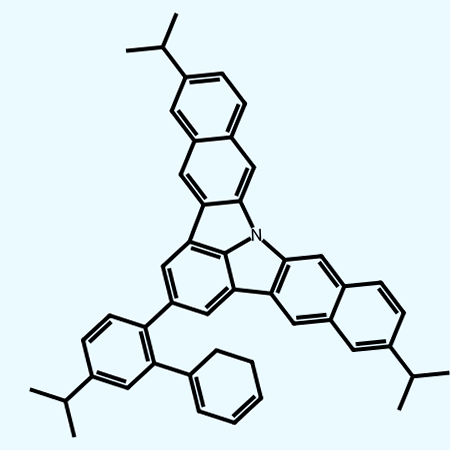 CC(C)c1ccc(-c2cc3c4cc5cc(C(C)C)ccc5cc4n4c5cc6ccc(C(C)C)cc6cc5c(c2)c34)c(C2=CC=CCC2)c1